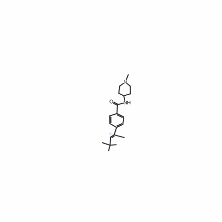 C/C(=C\C(C)(C)C)c1ccc(C(=O)NC2CCN(C)CC2)cc1